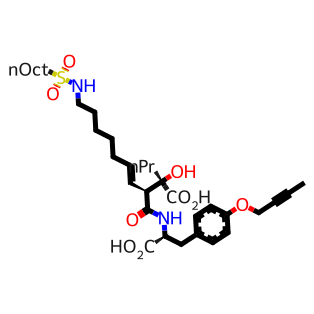 CC#CCOc1ccc(C[C@H](NC(=O)[C@@H](C=CCCCCCNS(=O)(=O)CCCCCCCC)[C@@](O)(CCC)C(=O)O)C(=O)O)cc1